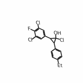 CCc1ccc(C2C(c3cc(Cl)c(F)c(Cl)c3)C2(O)Cl)cc1